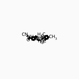 CC[C@H](Cn1ccc2cc(C(=O)NCC#N)ccc21)NS(=O)(=O)c1c(C)cc(C)cc1C